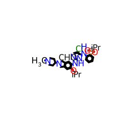 CC(C)Oc1cc2c(cc1Nc1ncc(Cl)c(Nc3ccccc3S(=O)(=O)C(C)C)n1)C(C=O)N(C1CCN(C)CC1)C2